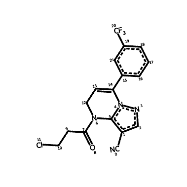 N#Cc1cnn2c1N(C(=O)CCCl)CC=C2c1cccc(C(F)(F)F)c1